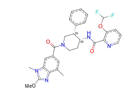 COc1nc2c(C)cc(C(=O)N3CC[C@@H](NC(=O)c4ncccc4OC(F)F)[C@@H](c4ccccc4)C3)cc2n1C